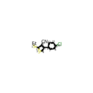 CCSc1scc(-c2ccc(Cl)cc2)c1C#N